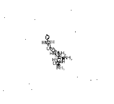 NN=NC1=C(Cl)NC(C(=O)/N=C2/NC3(CCN(C(=O)CC4=NNC(c5ccccc5)N4)CC3)CN2N)C(N=NN)N1